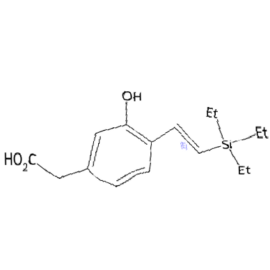 CC[Si](/C=C/c1ccc(CC(=O)O)cc1O)(CC)CC